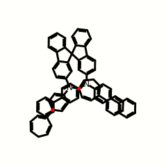 C1=CCC=CC(c2ccc(N(C3=CCC=C(c4ccccc4)C=C3)c3ccc4c(c3)C3(c5ccccc5-4)c4ccccc4-c4ccc(N(c5ccc(-c6ccccc6)cc5)c5ccc(-c6ccccc6)cc5)cc43)cc2)=C1